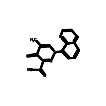 Cc1cn(-c2cccc3cccnc23)nc(C(=O)O)c1=O